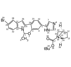 CC1Oc2cc(-c3cnc([C@@H]4[C@H]5CC[C@H](C5)N4C(=O)OC(C)(C)C)[nH]3)ccc2-c2cc3cc(Br)ccc3n21